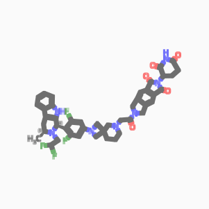 C[C@@H]1Cc2c([nH]c3ccccc23)[C@@H](c2c(F)cc(N3CC4(CCCN(CC(=O)N5Cc6cc7c(cc6C5)C(=O)N(C5CCC(=O)NC5=O)C7=O)C4)C3)cc2F)N1CC(F)F